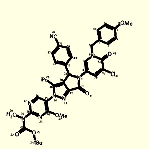 COc1ccc(Cn2cc(N3C(=O)c4nn(-c5cnc(N(C)C(=O)OC(C)(C)C)nc5OC)c(C(C)C)c4C3c3ccc(C#N)cc3)cc(Cl)c2=O)cc1